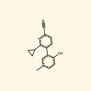 N#Cc1ccc(-c2cc(F)ccc2O)c(C2CC2)n1